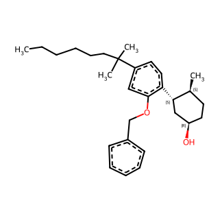 CCCCCCC(C)(C)c1ccc([C@H]2C[C@H](O)CC[C@@H]2C)c(OCc2ccccc2)c1